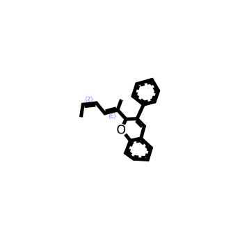 C/C=C\C=C(/C)C1Oc2ccccc2C=C1c1ccccc1